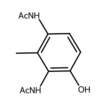 CC(=O)Nc1ccc(O)c(NC(C)=O)c1C